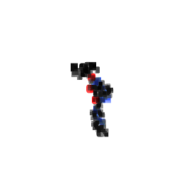 C[Si](C)(C)CCOCn1ncc(N2CCC[C@H]2CNC(=O)CCN2CCN(c3ccc(C#N)cn3)CC2)c(C(F)(F)F)c1=O